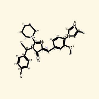 COc1cc(/C=C2\N=C(N3CCCCC3)N(C(C)c3ccc(F)cc3)C2=O)ccc1-n1cnc(C)c1